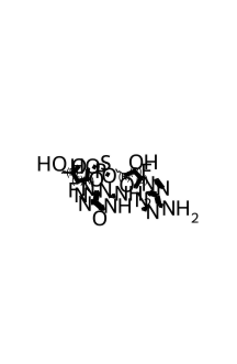 Nc1nc2c(nnn2[C@@]2(OP(O)(=S)OC[C@H]3OC[C@@](F)(n4cnc5c(N)ncnc54)[C@@H]3O)CO[C@H](CO)[C@@H]2F)c(=O)[nH]1